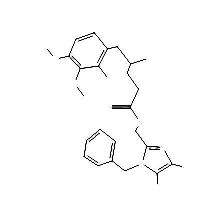 COc1ccc(CC(C)CCC(=O)[N]Cc2nc(Cl)c(Cl)n2Cc2ccccc2)c(Cl)c1OC